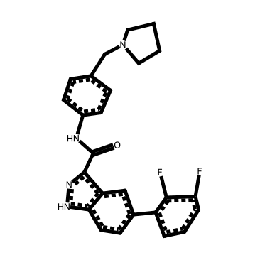 O=C(Nc1ccc(CN2CCCC2)cc1)c1n[nH]c2ccc(-c3cccc(F)c3F)cc12